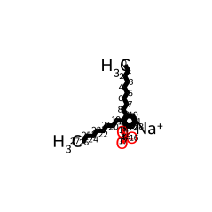 CCCCCCCCCc1cccc(OC(=O)[O-])c1CCCCCCCCC.[Na+]